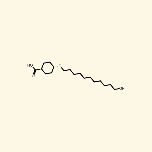 O=C(O)[C@H]1CC[C@H](OCCCCCCCCCCCO)CC1